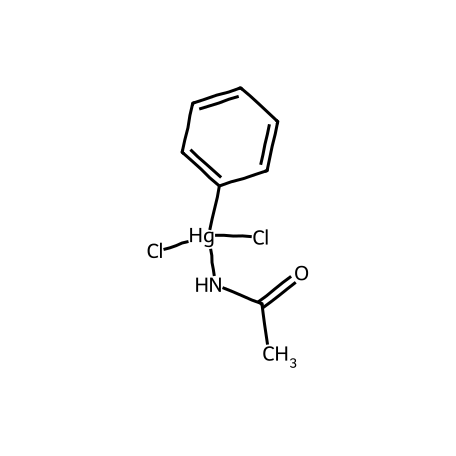 CC(=O)[NH][Hg]([Cl])([Cl])[c]1ccccc1